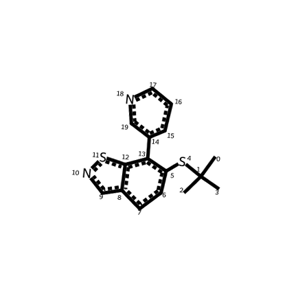 CC(C)(C)Sc1ccc2cnsc2c1-c1cccnc1